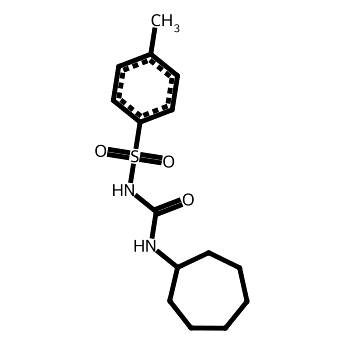 Cc1ccc(S(=O)(=O)NC(=O)NC2CCCCCC2)cc1